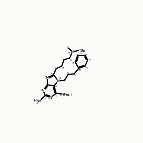 CCCCCc1nc(N)nc2nc(CCCCN(C)C(C)(C)C)n(CCCc3ccccc3)c12